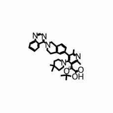 Cc1nc(C)c([C@H](OC(C)(C)C)C(=O)O)c(N2CCC(C)(C)CC2)c1-c1ccc2c(c1)CCN(c1ncnc3ccccc13)C2